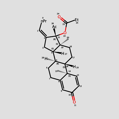 CCCC=C1C[C@H]2[C@@H]3CCC4=CC(=O)C=C[C@]4(C)[C@H]3CC[C@]2(C)[C@]1(OC(=O)CC)C(C)=O